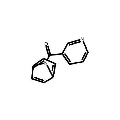 O=C(c1cccnc1)n1c2ccc1cc2